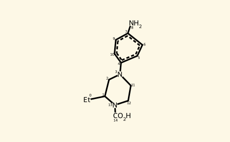 CCC1CN(c2ccc(N)cc2)CCN1C(=O)O